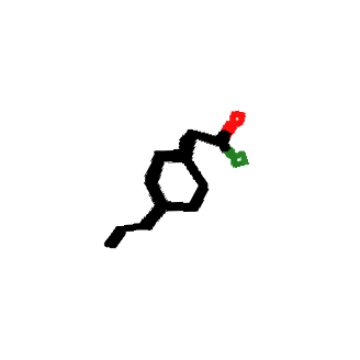 C=CCC1CCC(CC(=O)Cl)CC1